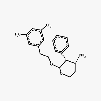 N[C@@H]1CCOC(OCCc2cc(C(F)(F)F)cc(C(F)(F)F)c2)[C@@H]1c1ccccc1